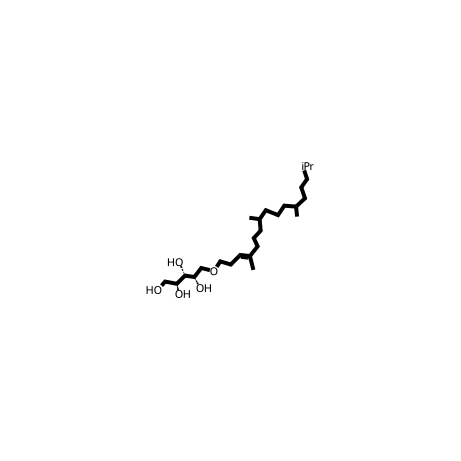 CC(=CCCOC[C@H](O)[C@@H](O)[C@H](O)CO)CCCC(C)CCCC(C)CCCC(C)C